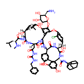 CN[C@H](CC(C)C)C(=O)N[C@H]1C(=O)N[C@@H](CC(=O)NC(=O)NCc2ccccc2)C(=O)NC2C(=O)N[C@H]3C(=O)N[C@H](C(=O)N[C@H](C(=O)NC4C5CC6CC(C5)CC4C6)c4cc(O)cc(O)c4-c4cc3ccc4O)[C@H](O)c3ccc(c(Cl)c3)Oc3cc2cc(c3O[C@@H]2O[C@H](CN)[C@@H](O)[C@H](O)[C@H]2O)Oc2ccc(cc2C)[C@H]1O